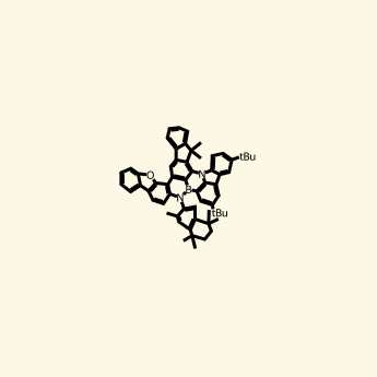 Cc1cc2c(cc1N1B3c4c(cc5c(c4-n4c6ccc(C(C)(C)C)cc6c6cc(C(C)(C)C)cc3c64)C(C)(C)c3ccccc3-5)-c3c1ccc1c3oc3ccccc31)C(C)(C)CCC2(C)C